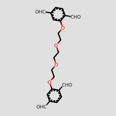 O=Cc1ccc(C=O)c(OCCOCCOCCOc2cc(C=O)ccc2C=O)c1